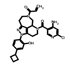 C=CC(=O)N1CCc2nn(-c3ccc(C4CCC4)cc3O)c3c2C(C1)N(C(=O)c1cnc(Cl)cc1N)CC3